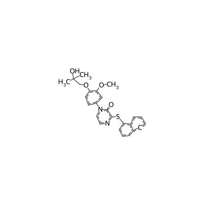 COc1cc(-n2ccnc(Sc3cccc4ccccc34)c2=O)ccc1OCC(C)(C)O